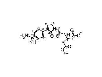 COC(=O)CC(CC(=O)OC)NC(=O)CN1CCN(c2ccc(C(=N)N)cc2)C1=O